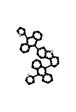 c1csc(-c2c3ccccc3c(-c3ccc4c(c3)oc3cccc(-c5c6ccccc6c(-c6cccs6)c6ccccc56)c34)c3ccccc23)c1